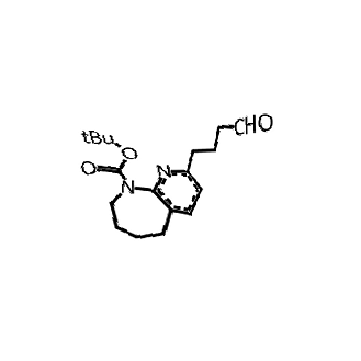 CC(C)(C)OC(=O)N1CCCCc2ccc(CCCC=O)nc21